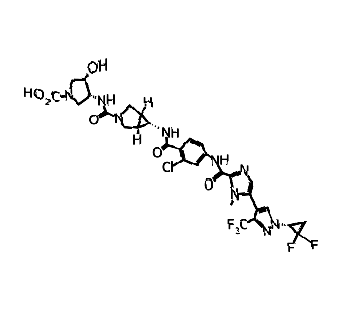 Cn1c(-c2cn([C@@H]3CC3(F)F)nc2C(F)(F)F)cnc1C(=O)Nc1ccc(C(=O)N[C@@H]2[C@@H]3CN(C(=O)N[C@@H]4CN(C(=O)O)C[C@H]4O)C[C@@H]32)c(Cl)c1